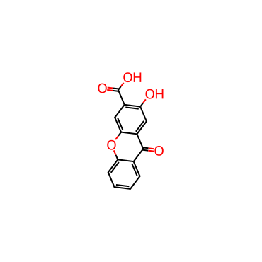 O=C(O)c1cc2oc3ccccc3c(=O)c2cc1O